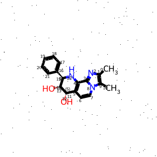 Cc1nc2c3c(ccn2c1C)[C@H](O)[C@H](O)[C@@H](c1ccccc1)N3